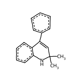 CC1(C)C=C(c2ccccc2)c2ccccc2N1